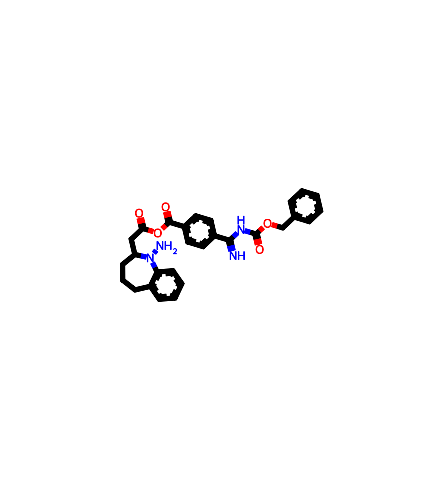 N=C(NC(=O)OCc1ccccc1)c1ccc(C(=O)OC(=O)CC2CCCc3ccccc3N2N)cc1